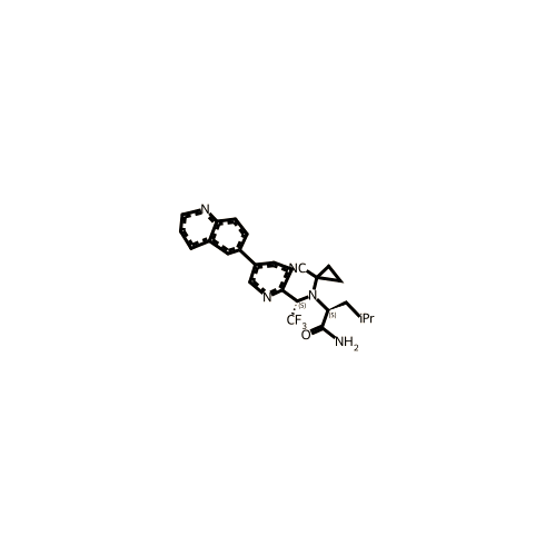 CC(C)C[C@@H](C(N)=O)N([C@@H](c1ccc(-c2ccc3ncccc3c2)cn1)C(F)(F)F)C1(C#N)CC1